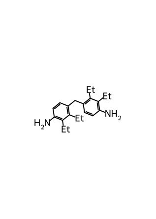 CCc1c(N)ccc(Cc2ccc(N)c(CC)c2CC)c1CC